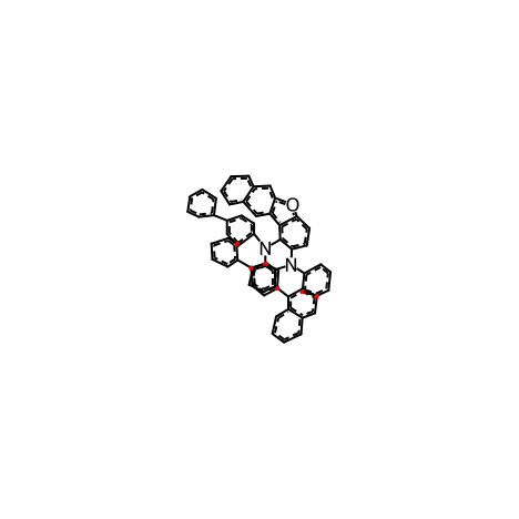 c1ccc(-c2ccc(N(c3ccccc3-c3ccccc3)c3c(N(c4ccccc4)c4ccccc4-c4cccc5ccccc45)ccc4oc5cc6ccccc6cc5c34)cc2)cc1